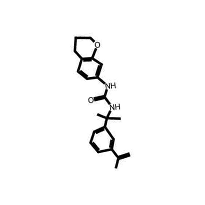 C=C(C)c1cccc(C(C)(C)NC(=O)Nc2ccc3c(c2)OCCC3)c1